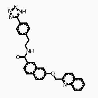 O=C(NCCc1ccc(-c2nnn[nH]2)cc1)c1ccc2ccc(OCc3ccc4ccccc4n3)cc2c1